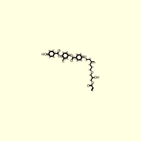 C=CC(=O)OCC(O)COCCCC(C)CCOc1ccc(C(=O)Oc2ccc(OC(=O)c3ccc(O)cc3)c(C)c2)cc1